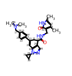 Cc1cc(C)c(CNC(=O)C2CC(c3ccc(CN(C)C)cc3)=Cc3c2cnn3C2CC2)c(=O)[nH]1